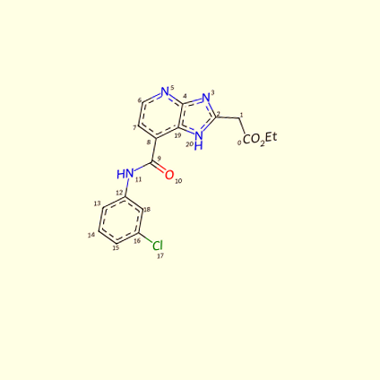 CCOC(=O)Cc1nc2nccc(C(=O)Nc3cccc(Cl)c3)c2[nH]1